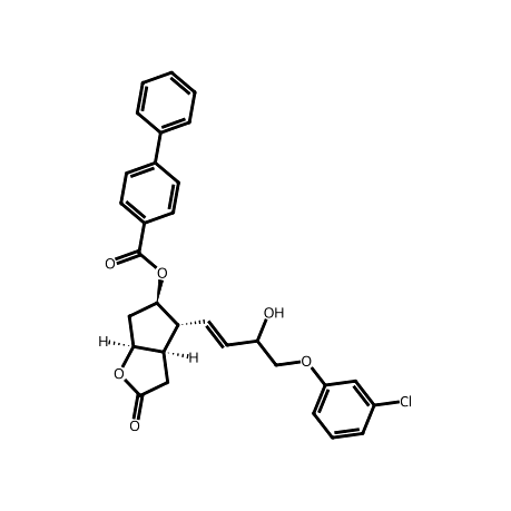 O=C1C[C@@H]2[C@@H](C=CC(O)COc3cccc(Cl)c3)[C@H](OC(=O)c3ccc(-c4ccccc4)cc3)C[C@@H]2O1